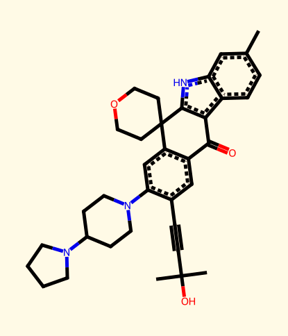 Cc1ccc2c3c([nH]c2c1)C1(CCOCC1)c1cc(N2CCC(N4CCCC4)CC2)c(C#CC(C)(C)O)cc1C3=O